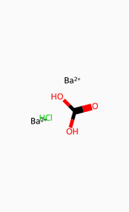 Cl.O=C(O)O.[Ba+2].[Ba+2]